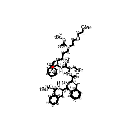 CCOC(=O)CN1CC2CC(C1)N2C(=O)[C@@H](CCCCN(CCOCCOC)C(=O)OC(C)(C)C)NC(=O)[C@@H](CC(C)C)NC(=O)[C@@H](Cc1ccccc1)NC(=O)[C@@H](Cc1ccccc1)NC(=O)OC(C)(C)C